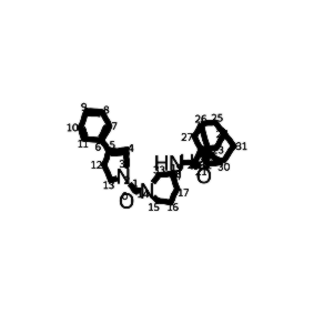 O=C(N1CC=C(c2ccccc2)CC1)N1CCC[C@H](NC(=O)C23CC4CC(C2)C(O)C(C4)C3)C1